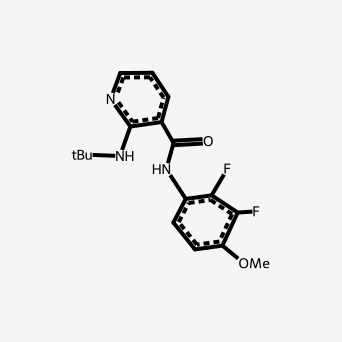 COc1ccc(NC(=O)c2cccnc2NC(C)(C)C)c(F)c1F